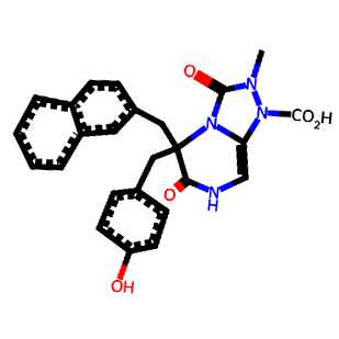 CN1C(=O)N2C(=CNC(=O)C2(Cc2ccc(O)cc2)Cc2ccc3ccccc3c2)N1C(=O)O